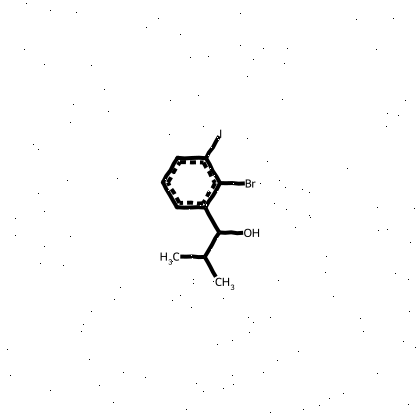 CC(C)C(O)c1cccc(I)c1Br